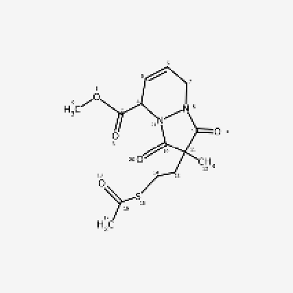 COC(=O)C1C=CCN2C(=O)C(C)(CCSC(C)=O)C(=O)N12